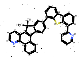 CC1(C)c2cc(-c3cccc4c3sc3c(-c5ccccn5)cccc34)ccc2-c2c1c1cccnc1c1ccccc21